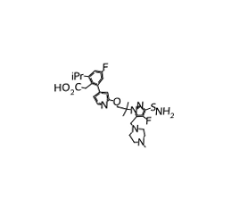 CC(C)c1cc(F)cc(-c2ccnc(OCC(C)(C)n3nc(SN)c(F)c3CN3CCN(C)CC3)c2)c1CC(=O)O